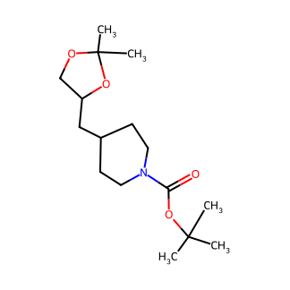 CC(C)(C)OC(=O)N1CCC(CC2COC(C)(C)O2)CC1